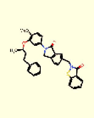 COc1ccc(N2Cc3ccc(Cn4sc5ccccc5c4=O)cc3C2=O)cc1OC(C)CCc1ccccc1